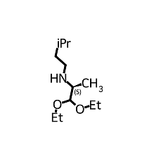 CCOC(OCC)[C@H](C)NCCC(C)C